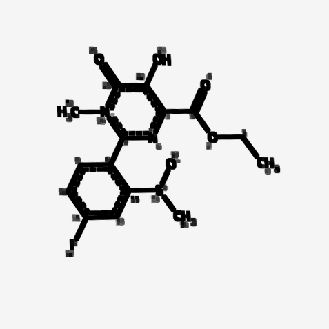 CCOC(=O)c1nc(-c2ccc(F)cc2[S+](C)[O-])n(C)c(=O)c1O